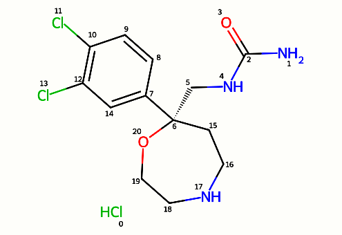 Cl.NC(=O)NC[C@]1(c2ccc(Cl)c(Cl)c2)CCNCCO1